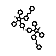 O=C1C(c2ccccc2)=C(c2ccc(Oc3ccc(C4=C(c5ccccc5)C(=O)C(c5ccccc5)=C4c4cccc(CCc5ccccc5)c4)cc3)cc2)C(c2cccc(CCc3ccccc3)c2)=C1c1ccccc1